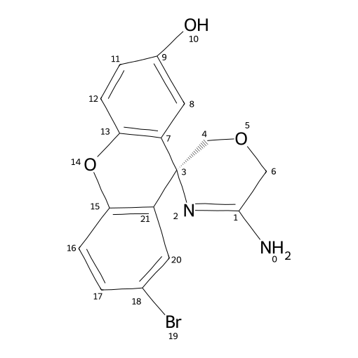 NC1=N[C@]2(COC1)c1cc(O)ccc1Oc1ccc(Br)cc12